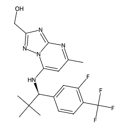 Cc1cc(N[C@@H](c2ccc(C(F)(F)F)c(F)c2)C(C)(C)C)n2nc(CO)nc2n1